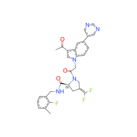 CC(=O)c1cn(CC(=O)N2CC(=C(F)F)C[C@H]2C(=O)NCc2cccc(C)c2F)c2ccc(-c3cncnc3)cc12